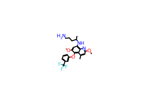 COc1cc(C)c2c(Oc3cccc(C(F)(F)F)c3)c(OC)cc(NC(C)CCCN)c2n1